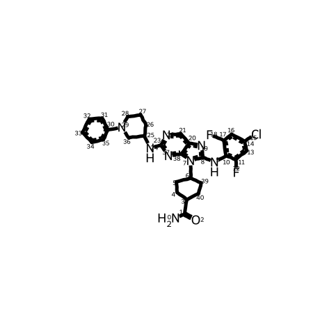 NC(=O)C1CCC(n2c(Nc3c(F)cc(Cl)cc3F)nc3cnc(NC4CCCN(c5ccccc5)C4)nc32)CC1